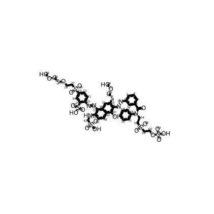 O=C(c1cccc(/N=N/c2c(SOOO)cc3c(/N=N/c4ccc(S(=O)(=O)CCOSOOO)cc4S(=O)(=O)O)c(NCS(=O)(=O)O)ccc3c2O)c1)N(CCS(=O)(=O)CCOS(=O)(=O)O)c1ccccc1